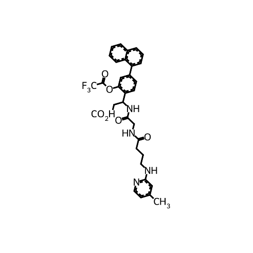 Cc1ccnc(NCCCC(=O)NCC(=O)NC(CC(=O)O)c2ccc(-c3cccc4ccccc34)cc2OC(=O)C(F)(F)F)c1